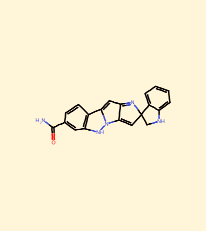 NC(=O)c1ccc2c(c1)[nH]n1c3c(cc21)=NC1(C=3)CNc2ccccc21